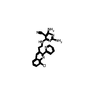 N#Cc1c(N)nc(N)nc1NCCc1cc2cccc(Cl)c2nc1-c1ccccn1